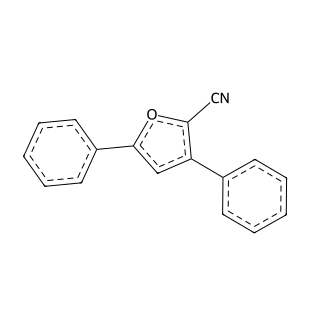 N#Cc1oc(-c2ccccc2)cc1-c1ccccc1